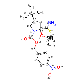 C[SiH](C)O[C@]1(C(N)=S)C[C@H](C(C)(C)C)CN1C(=O)OCc1ccc([N+](=O)[O-])cc1